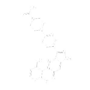 CC(=O)N1CCN(c2ccc(-c3n[nH]c4cc(=O)n(-c5c(C)cccc5F)nc34)cn2)CC1